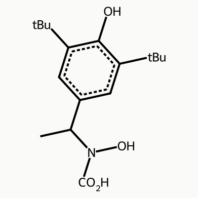 CC(c1cc(C(C)(C)C)c(O)c(C(C)(C)C)c1)N(O)C(=O)O